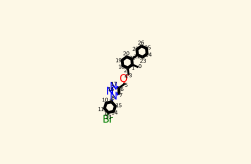 Cc1c(COCc2cn(-c3ccc(Br)cc3)nn2)cccc1-c1ccccc1